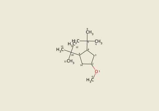 COC1CC(C(C)(C)C)C(C(C)(C)C)C1